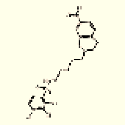 O=[N+](O)c1ccc2c(c1)CN(CCCCCNS(=O)(=O)c1ccc(Cl)c(Cl)c1Cl)CC2